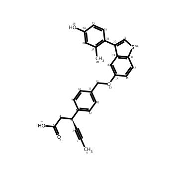 CC#C[C@@H](CC(=O)O)c1ccc(COc2ccc3scc(-c4ccc(O)cc4C)c3c2)cc1